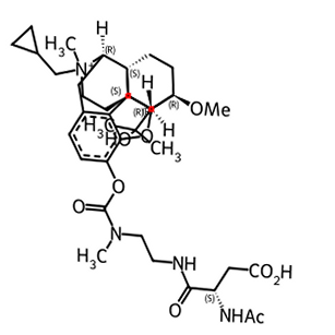 CO[C@]12CC[C@@]3(C[C@@H]1C(C)(C)O)[C@H]1Cc4ccc(OC(=O)N(C)CCNC(=O)[C@H](CC(=O)O)NC(C)=O)c5c4[C@@]3(CC[N+]1(C)CC1CC1)[C@H]2O5